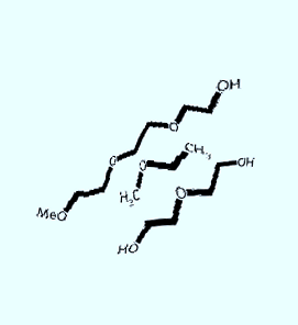 CCOC.COCCOCCOCCO.OCCOCCO